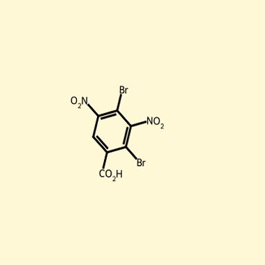 O=C(O)c1cc([N+](=O)[O-])c(Br)c([N+](=O)[O-])c1Br